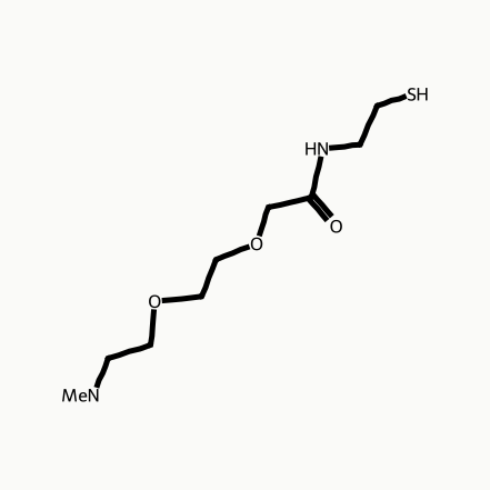 CNCCOCCOCC(=O)NCCS